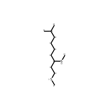 CSCCC(CCCCC(C)C)SC